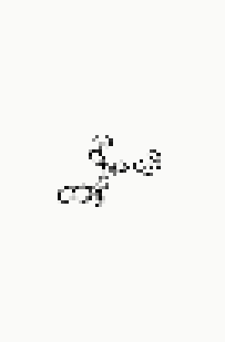 c1ccc(-c2cccc(N(c3ccc(-c4ccc5c(ccc6ccc7ccccc7c65)c4)cc3)c3ccc4sc5cc6ccccc6cc5c4c3)c2)cc1